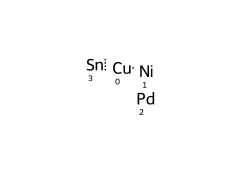 [Cu].[Ni].[Pd].[Sn]